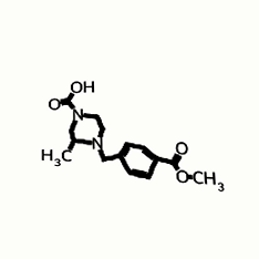 COC(=O)c1ccc(CN2CCN(C(=O)O)CC2C)cc1